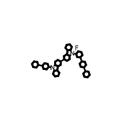 Fc1ccc(-c2ccc(-c3ccccc3)cc2)cc1-n1c2ccccc2c2cc(-c3ccc4c(c3)c3ccccc3n4-c3ccc(-c4ccccc4)cc3)ccc21